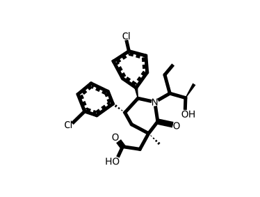 CCC([C@@H](C)O)N1C(=O)[C@@](C)(CC(=O)O)C[C@H](c2cccc(Cl)c2)[C@H]1c1ccc(Cl)cc1